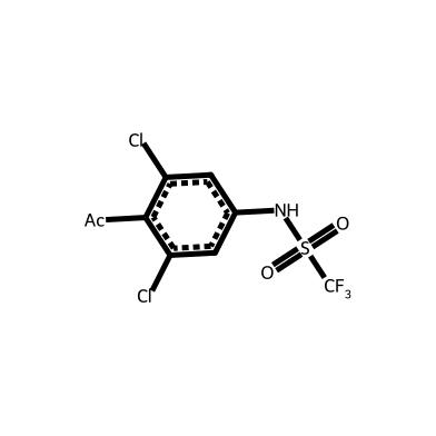 CC(=O)c1c(Cl)cc(NS(=O)(=O)C(F)(F)F)cc1Cl